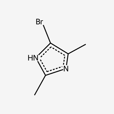 Cc1nc(C)c(Br)[nH]1